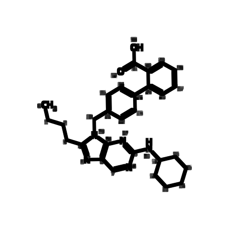 CCCCc1nc2cnc(NC3CCCCC3)nc2n1Cc1ccc(-c2ccccc2C(=O)O)cc1